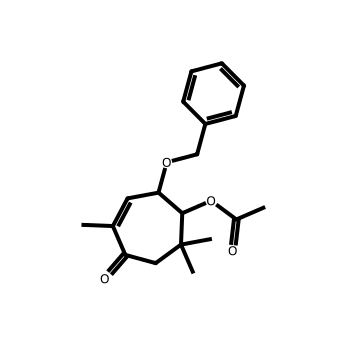 CC(=O)OC1C(OCc2ccccc2)C=C(C)C(=O)CC1(C)C